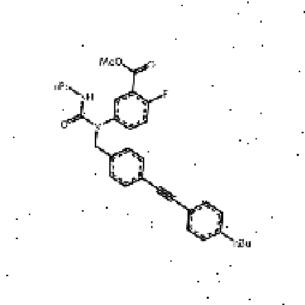 CCCCc1ccc(C#Cc2ccc(CN(C(=O)NCCC)c3ccc(F)c(C(=O)OC)c3)cc2)cc1